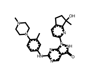 Cc1cc(Nc2ncc3c(=O)[nH]n(-c4ccc5c(n4)C(C)(O)CC5)c3n2)ccc1N1CCN(C)CC1